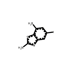 Bc1cc(I)cc2nc(N)sc12